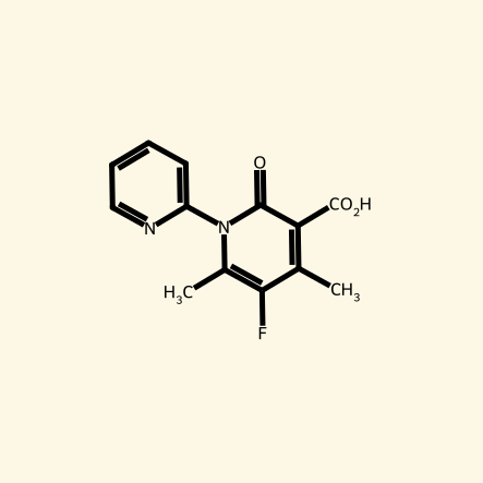 Cc1c(F)c(C)n(-c2ccccn2)c(=O)c1C(=O)O